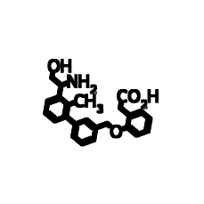 Cc1c(-c2cccc(COc3ccccc3CC(=O)O)c2)cccc1C(N)CO